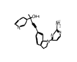 CC(O)(C#Cc1ccc2c(c1)N(c1ccnc(N)n1)CC2)c1cccnc1